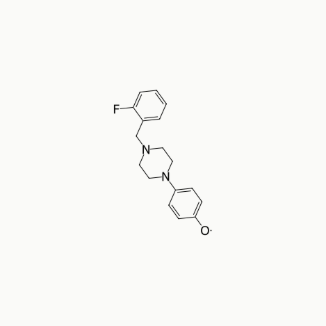 [O]c1ccc(N2CCN(Cc3ccccc3F)CC2)cc1